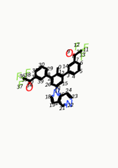 Cc1c(-c2cccc(C(=O)C(F)(F)F)c2)cc(-n2ccc3cnccc32)cc1-c1cccc(C(=O)C(F)(F)F)c1